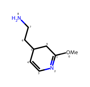 COC1=NC=CC(CCN)C1